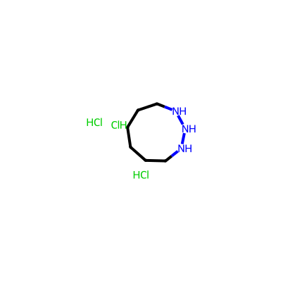 C1CCCNNNCC1.Cl.Cl.Cl